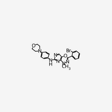 CN1N=C(c2ccccc2Br)Oc2cnc(Nc3ccc(N4CCOCC4)cc3)nc21